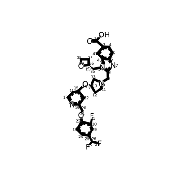 O=C(O)c1ccc2nc(CN3CC[C@H](Oc4ccnc(COc5ccc(C(F)F)cc5F)c4)C3)n(C[C@@H]3CCO3)c2c1